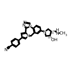 CNC[C@H]1CN(c2ccc3c(c2)Cn2cc(-c4ccc(C#N)cc4)cc2-c2nncn2-3)C[C@H]1O